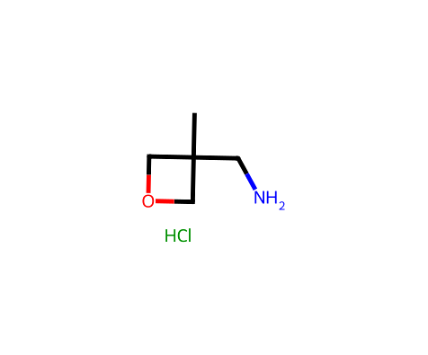 CC1(CN)COC1.Cl